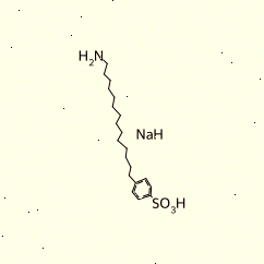 NCCCCCCCCCCCCCCc1ccc(S(=O)(=O)O)cc1.[NaH]